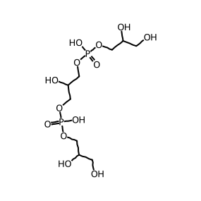 O=P(O)(OCC(O)CO)OCC(O)COP(=O)(O)OCC(O)CO